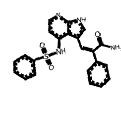 NC(=O)C(=Cc1c[nH]c2nccc(NS(=O)(=O)c3ccccc3)c12)c1ccccc1